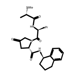 CN[C@@H](C)C(=O)N[C@H](C(=O)N1CC(=O)C[C@H]1C(=O)N[C@@H]1CCCc2ccccc21)C(C)C